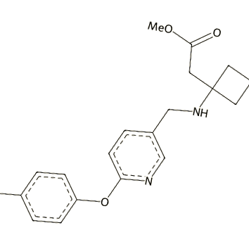 COC(=O)CC1(NCc2ccc(Oc3ccc(C)cc3)nc2)CCC1